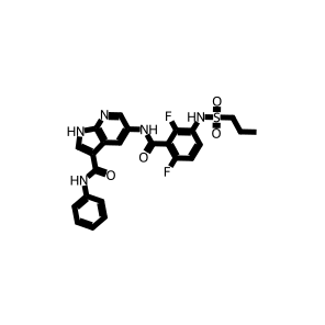 CCCS(=O)(=O)Nc1ccc(F)c(C(=O)Nc2cnc3[nH]cc(C(=O)Nc4ccccc4)c3c2)c1F